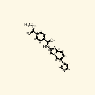 COC(=O)c1ccc(C(=O)Nc2cn3cc(-n4ccnc4)ccc3n2)cc1